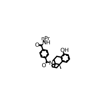 CCCNC(=O)c1ccc(C(=O)N2CC[C@@]3(C)c4cccc(O)c4CC2C3(C)C)cc1